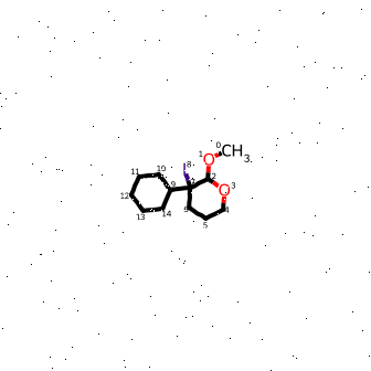 COC1OCCCC1(I)C1CCCCC1